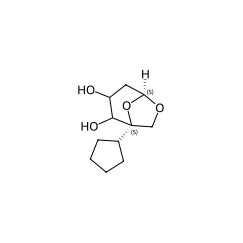 OC1C[C@H]2OC[C@](C3CCCC3)(O2)C1O